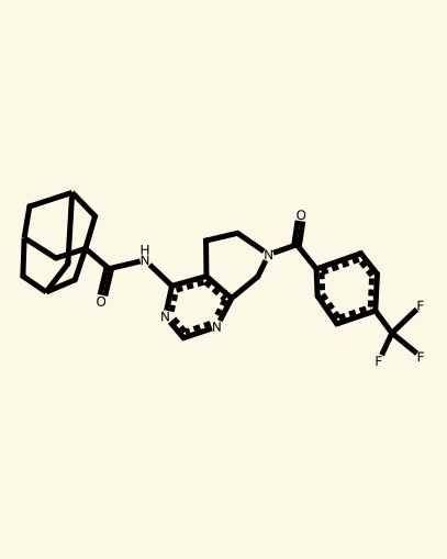 O=C(c1ccc(C(F)(F)F)cc1)N1CCc2c(ncnc2NC(=O)C23CC4CC(CC(C4)C2)C3)C1